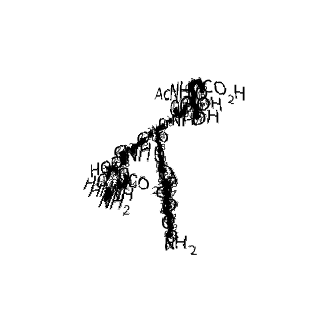 CC(=O)N[C@@H]1CC=C(C(=O)O)O[C@H]1[C@H](OCC(=O)NCCOCCN(CCOCCNC(=O)CO[C@H]([C@H](O)CO)[C@H]1C[C@@H](NC(=N)N)C=C(C(=O)O)O1)C(=O)CCOCCOCCOCCOCCOCCON)[C@H](O)CO